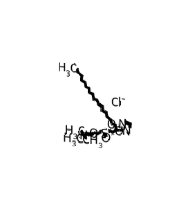 CCCCCCCCCCCCCCCCCCOCC(CC[S+]([O-])CCOCC[N+](C)(C)C)Oc1ncccn1.[Cl-]